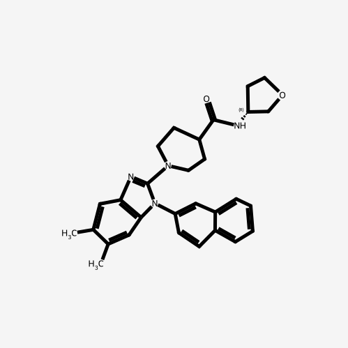 Cc1cc2nc(N3CCC(C(=O)N[C@@H]4CCOC4)CC3)n(-c3ccc4ccccc4c3)c2cc1C